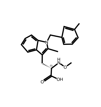 CON[C@@H](Cc1c(C)n(Cc2cccc(C)c2)c2ccccc12)C(=O)O